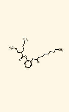 CCCCCCCCC(=O)Oc1ccccc1OC(=O)C(CCC)CCCC